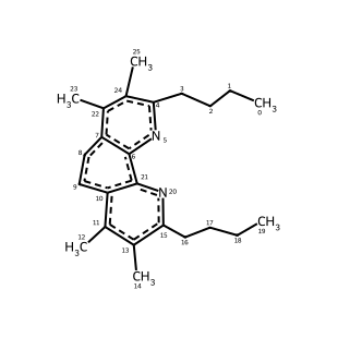 CCCCc1nc2c(ccc3c(C)c(C)c(CCCC)nc32)c(C)c1C